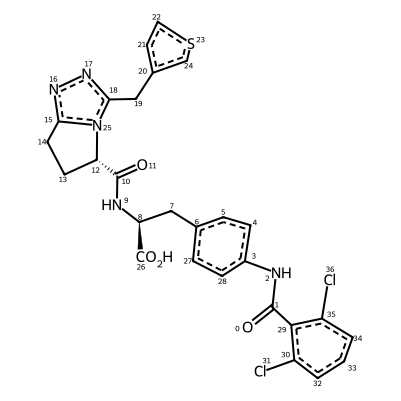 O=C(Nc1ccc(C[C@H](NC(=O)[C@@H]2CCc3nnc(Cc4ccsc4)n32)C(=O)O)cc1)c1c(Cl)cccc1Cl